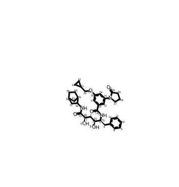 C[C@H](C[C@H](O)[C@H](Cc1ccccc1)NC(=O)c1cc(OCC2CC2)cc(N2CCCC2=O)c1)C(=O)NC1CC2CCC1C2